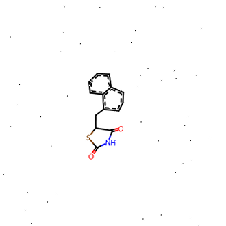 O=C1NC(=O)C(Cc2cccc3ccccc23)S1